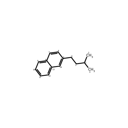 CC(C)C[CH]c1ccc2ccccc2c1